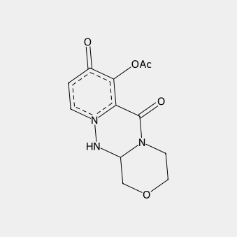 CC(=O)Oc1c2n(ccc1=O)NC1COCCN1C2=O